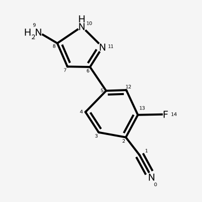 N#Cc1ccc(-c2cc(N)[nH]n2)cc1F